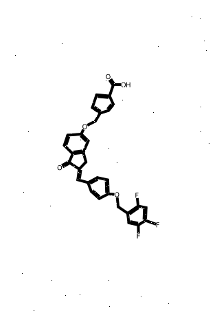 O=C(O)c1ccc(COc2ccc3c(c2)C/C(=C\c2ccc(OCc4cc(F)c(F)cc4F)cc2)C3=O)cc1